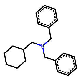 [CH]1CCC(CN(Cc2ccccc2)Cc2ccccc2)CC1